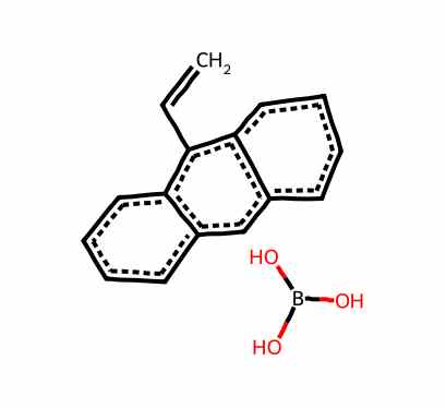 C=Cc1c2ccccc2cc2ccccc12.OB(O)O